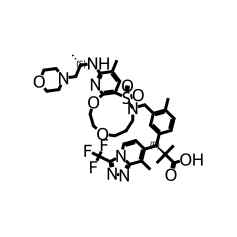 Cc1ccc([C@H](c2ccn3c(C(F)(F)F)nnc3c2C)C(C)(C)C(=O)O)cc1CN1CCCOCCOc2nc(N[C@@H](C)CN3CCOCC3)c(C)cc2S1(=O)=O